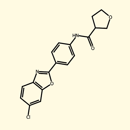 O=C(Nc1ccc(-c2nc3ccc(Cl)cc3o2)cc1)C1CCOC1